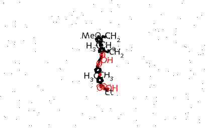 C=CCc1cc(C(C)(C)c2ccc(OCC(O)COCC3CCC(C(C)(C)C4CCC(C(=O)OCC(O)CC)CC4)CC3)c(CC=C)c2)ccc1OC